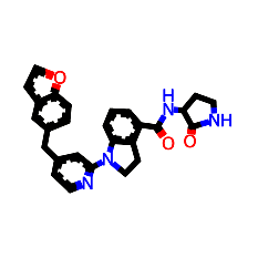 O=C(NC1CCNC1=O)c1cccc2c1CCN2c1cc(Cc2ccc3occc3c2)ccn1